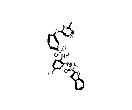 Cc1cncc(Oc2cccc(S(=O)(=O)Nc3ccc(Cl)cc3NS(=O)(=O)c3cc4ccccc4o3)c2)n1